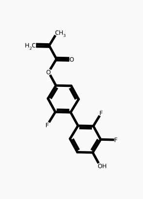 C=C(C)C(=O)Oc1ccc(-c2ccc(O)c(F)c2F)c(F)c1